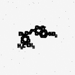 CCCOC(CCOC1(CC)COC(C)(C)OC1)Oc1ccc([N+](=O)[O-])cc1